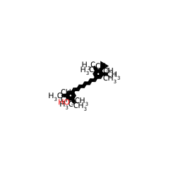 CC(C)(C)c1cc(CCCCCCCCc2cc(C(C)(C)C)c(C3CC3)c(C(C)(C)C)c2)cc(C(C)(C)C)c1O